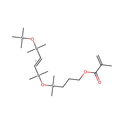 C=C(C)C(=O)OCCC[Si](C)(C)O[Si](C)(C)/C=C/[Si](C)(C)O[Si](C)(C)C